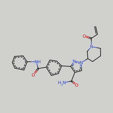 C=CC(=O)N1CCCC(n2cc(C(N)=O)c(-c3ccc(C(=O)Nc4ccccc4)cc3)n2)C1